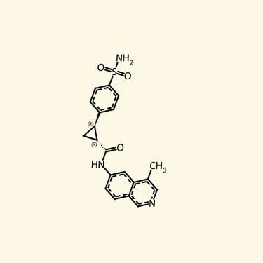 Cc1cncc2ccc(NC(=O)[C@@H]3C[C@H]3c3ccc(S(N)(=O)=O)cc3)cc12